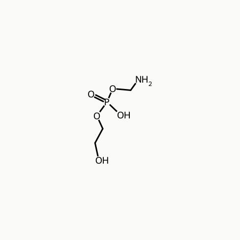 NCOP(=O)(O)OCCO